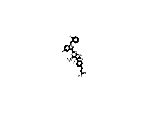 C[C@]1(c2ccc(CCC(=O)O)cc2)C(=O)Nc2nc(-c3nn(Cc4ccccc4F)c4ccc(F)cc34)nc(N)c21